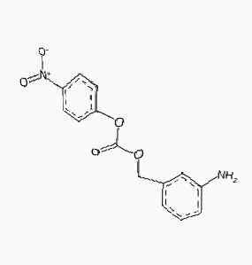 Nc1cccc(COC(=O)Oc2ccc([N+](=O)[O-])cc2)c1